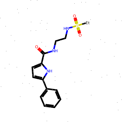 CCS(=O)(=O)NCCNC(=O)c1ccc(-c2ccccc2)[nH]1